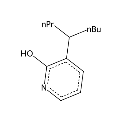 CCCCC(CCC)c1cccnc1O